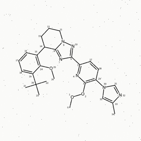 COOc1nc(-c2nc3n(n2)CCCC3c2cccc(C(C)(C)C)c2OC)ccc1-n1cnc(C)c1